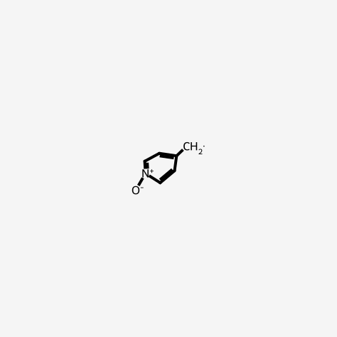 [CH2]c1cc[n+]([O-])cc1